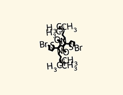 C[Si](C)(C)CCCN1C(=O)C2=C(c3ccc(Br)s3)N(CCC[Si](C)(C)C)C(=O)C2=C1c1ccc(Br)s1